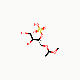 COC(C)OC[C@@H](OS(=O)(=O)O)C(O)CO